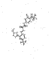 COC1CCN(c2nc(C(F)(F)F)ccc2C=CC(=O)NCc2ccc(NS(C)(=O)=O)c(F)c2)C1